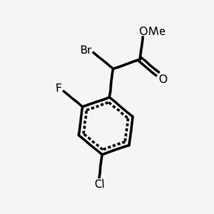 COC(=O)C(Br)c1ccc(Cl)cc1F